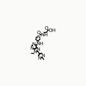 CCn1c(-c2cnc(C)nc2)nc2c(N[C@H]3CCN(C(=O)NCCC(=O)O)C3)ncnc21